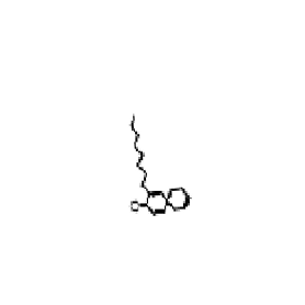 CCCCCCCCC1=CC2(C=CC1=O)CC=CCC2